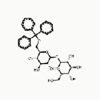 OC[C@H]1OC(OC2O[C@H](COC(c3ccccc3)(c3ccccc3)c3ccccc3)[C@@H](O)[C@H](O)[C@H]2O)[C@H](O)[C@@H](O)[C@@H]1O